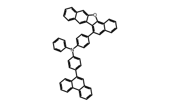 c1ccc(N(c2ccc(-c3cc4ccccc4c4ccccc34)cc2)c2ccc(-c3cc4ccccc4c4oc5cc6ccccc6cc5c34)cc2)cc1